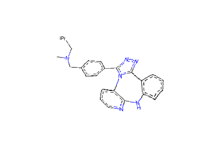 CC(C)CN(C)Cc1ccc(-c2nnc3n2-c2cccnc2Nc2ccccc2-3)cc1